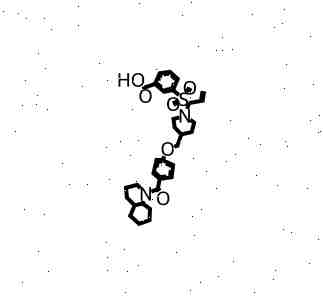 C=CC(N1CCC(COc2ccc(C(=O)N3CCCC4CCCCC43)cc2)CC1)S(=O)(=O)c1cccc(C(=O)O)c1